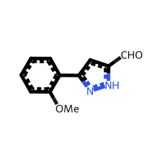 COc1ccccc1-c1cc(C=O)[nH]n1